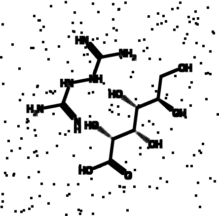 N=C(N)NNC(=N)N.O=C(O)[C@H](O)[C@@H](O)[C@H](O)[C@H](O)CO